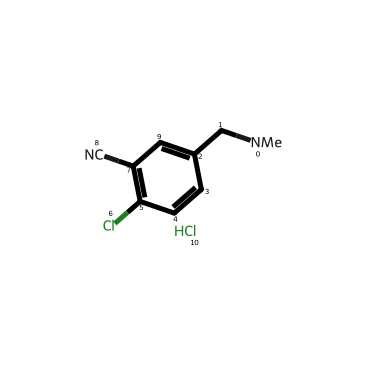 CNCc1ccc(Cl)c(C#N)c1.Cl